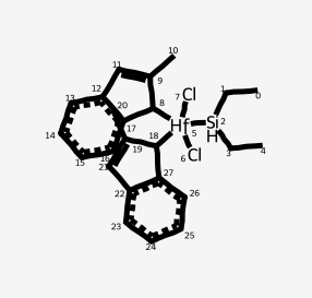 CC[SiH](CC)[Hf]([Cl])([Cl])([CH]1C(C)=Cc2ccccc21)[CH]1C(C)=Cc2ccccc21